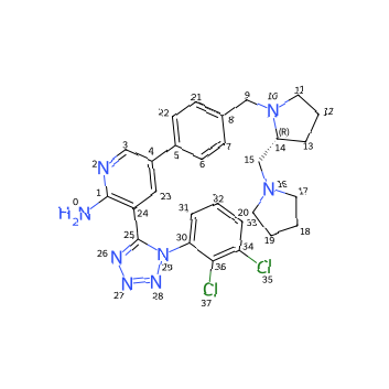 Nc1ncc(-c2ccc(CN3CCC[C@@H]3CN3CCCC3)cc2)cc1-c1nnnn1-c1cccc(Cl)c1Cl